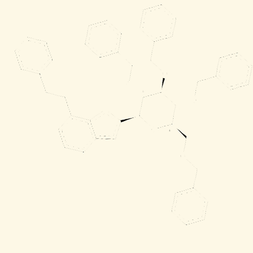 c1ccc(CCc2cccc3cc([C@@H]4O[C@H](COCc5ccccc5)[C@@H](OCc5ccccc5)[C@H](OCc5ccccc5)[C@H]4OCc4ccccc4)sc23)cc1